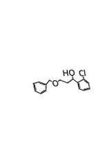 OC(CCOCc1ccccc1)c1ccccc1Cl